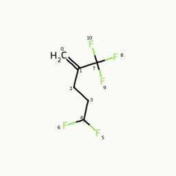 C=C(CC[C](F)F)C(F)(F)F